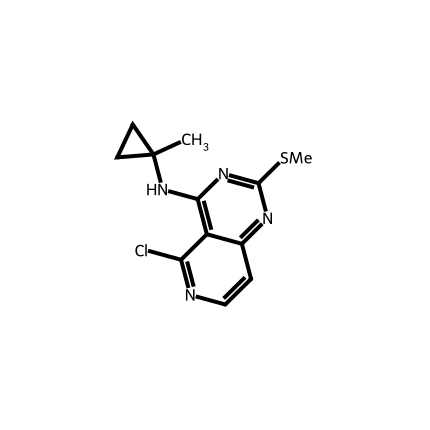 CSc1nc(NC2(C)CC2)c2c(Cl)nccc2n1